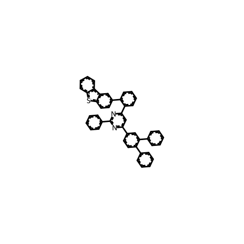 c1ccc(-c2nc(-c3ccc(-c4ccccc4)c(-c4ccccc4)c3)cc(-c3ccccc3-c3ccc4sc5ccccc5c4c3)n2)cc1